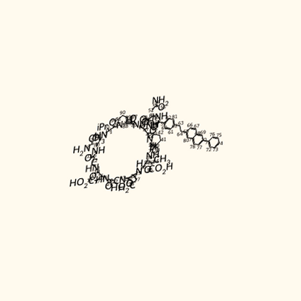 CC(C)[C@@H]1NC(=O)[C@@H](C(C)N)NC(=O)CNC(=O)C(CC(=O)O)NC(=O)CNC(=O)[C@H](CC(=O)O)NC(=O)[C@H](C(C)C(=O)O)NC(=O)[C@H]2CCCCN2C(=O)C(NC(=O)[C@H](CC(N)=O)NC(=O)c2ccc(CCc3ccc4cc(-c5ccccc5)ccc4c3)cc2)[C@@H](C)NC(=O)[C@@H]2CCCN2C1=O